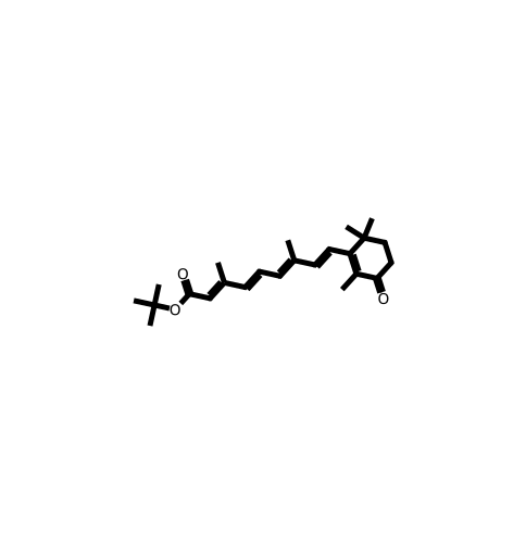 CC1=C(/C=C/C(C)=C/C=C/C(C)=C/C(=O)OC(C)(C)C)C(C)(C)CCC1=O